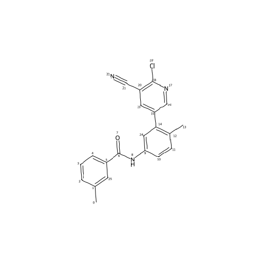 Cc1cccc(C(=O)Nc2ccc(C)c(-c3cnc(Cl)c(C#N)c3)c2)c1